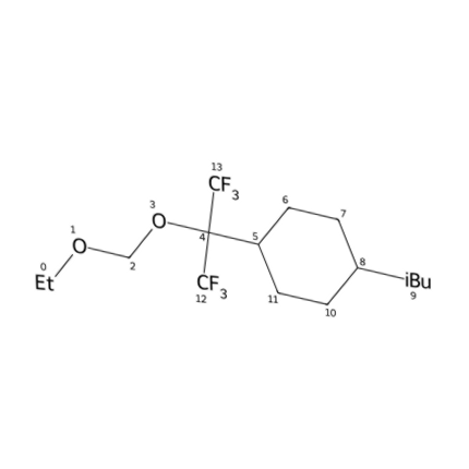 CCOCOC(C1CCC(C(C)CC)CC1)(C(F)(F)F)C(F)(F)F